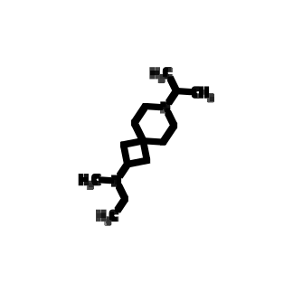 CCN(C)C1CC2(CCN(C(C)C)CC2)C1